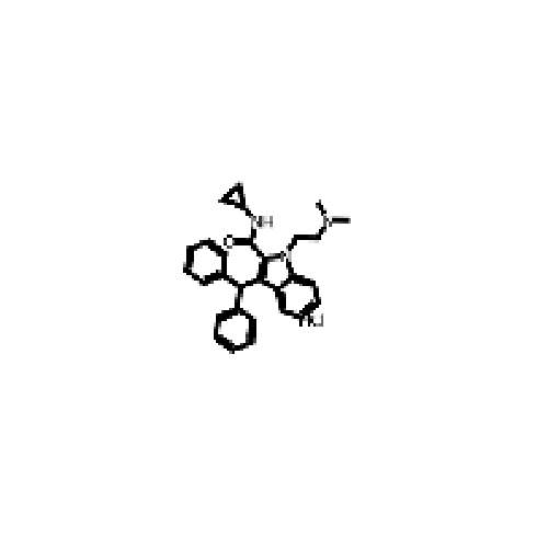 CN(C)CCn1c(C(=O)NC2CC2)c(C(c2ccccc2)c2ccccc2)c2ccccc21.Cl